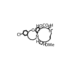 CO[C@H]1C/C=C/CN(C)C(=O)C[C@@](O)(C(=O)O)c2ccc3c(c2)N(CCCCc2cc(Cl)ccc2CO3)C[C@@H]2CC[C@H]21